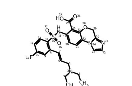 CCN(CC)CC=Cc1cc(F)ccc1S(=O)(=O)Nc1ccc2c(c1C(=O)O)OCc1nccn1-2